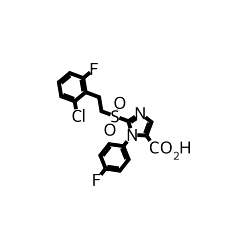 O=C(O)c1cnc(S(=O)(=O)CCc2c(F)cccc2Cl)n1-c1ccc(F)cc1